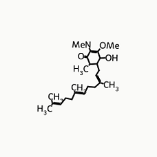 CNC1=C(OC)C(O)C(C/C=C(\C)CC/C=C(\C)CCC=C(C)C)C(C)C1=O